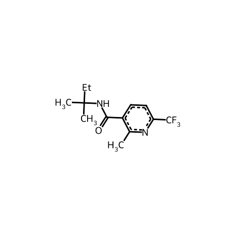 CCC(C)(C)NC(=O)c1ccc(C(F)(F)F)nc1C